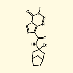 CCC1(NC(=O)c2ncn3c(=O)n(C)nnc23)CC2CCC(C2)C1